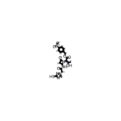 C/C(O)=C(\C(=O)OCc1ccc([N+](=O)[O-])cc1)N1C(=O)CC1NC(=O)Cn1nnc(S)n1